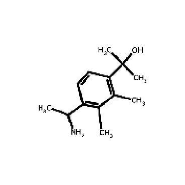 Cc1c(C(C)N)ccc(C(C)(C)O)c1C